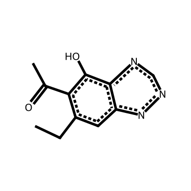 CCc1cc2nncnc2c(O)c1C(C)=O